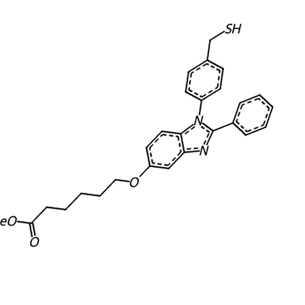 COC(=O)CCCCCOc1ccc2c(c1)nc(-c1ccccc1)n2-c1ccc(CS)cc1